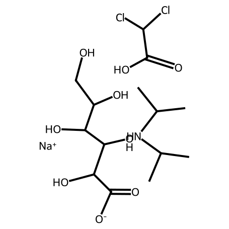 CC(C)NC(C)C.O=C(O)C(Cl)Cl.O=C([O-])C(O)C(O)C(O)C(O)CO.[Na+]